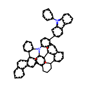 c1ccc(-n2c3ccccc3c3ccc(-c4ccc(N(c5ccccc5-c5cccc6c5ccc5ccccc56)c5ccccc5-c5cccc6cccc(C7CCCCC7)c56)cc4)cc32)cc1